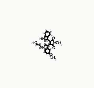 COc1ccc2c(c1)c(C1=C(c3c[nH]c4ccccc34)C(=O)N(C)C1=O)cn2CCCO